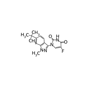 Cn1nc(-n2cc(F)c(=O)[nH]c2=O)c2ccc(C(C)(C)C)cc21